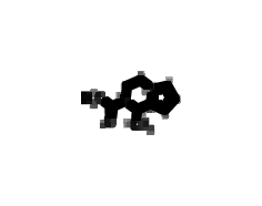 CC(=O)N1CCn2cccc2C1C